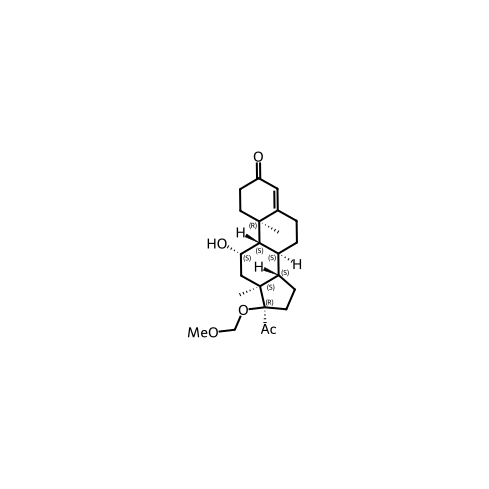 COCO[C@]1(C(C)=O)CC[C@H]2[C@@H]3CCC4=CC(=O)CC[C@]4(C)[C@H]3[C@@H](O)C[C@@]21C